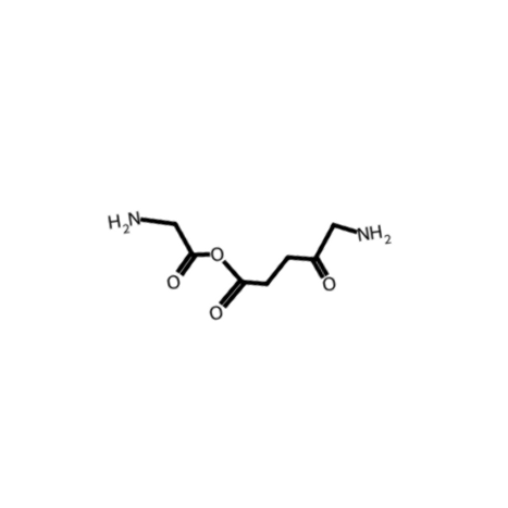 NCC(=O)CCC(=O)OC(=O)CN